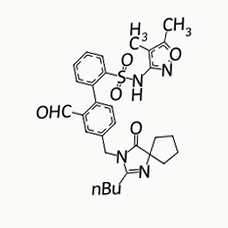 CCCCC1=NC2(CCCC2)C(=O)N1Cc1ccc(-c2ccccc2S(=O)(=O)Nc2noc(C)c2C)c(C=O)c1